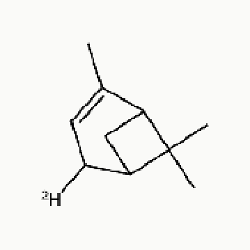 [2H]C1C=C(C)C2CC1C2(C)C